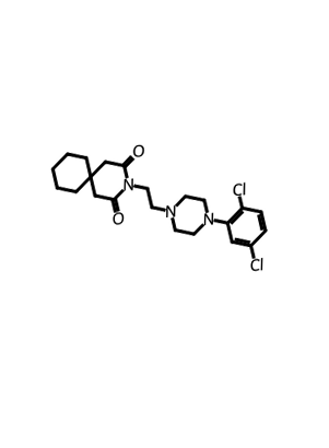 O=C1CC2(CCCCC2)CC(=O)N1CCN1CCN(c2cc(Cl)ccc2Cl)CC1